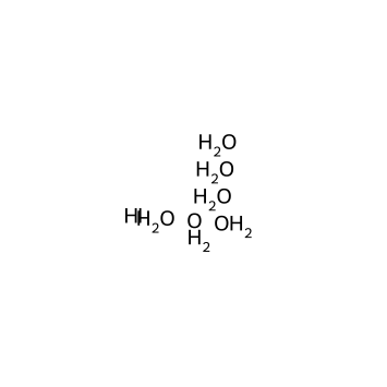 I.O.O.O.O.O.O